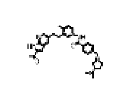 CC(=O)c1cc2cc(CCc3cc(NC(=O)c4ccc(CN5CCC(N(C)C)C5)cc4)ccc3C)cnc2[nH]1